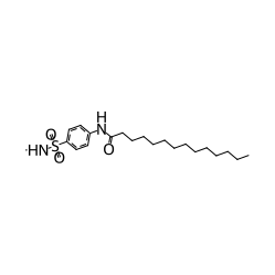 CCCCCCCCCCCCCC(=O)Nc1ccc(S([NH])(=O)=O)cc1